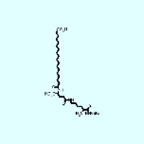 CCCCNC(=O)[C@@H](N)CCCCNC(=O)CC[C@H](NC(=O)CCCCCCCCCCCCCCCCC(=O)O)C(=O)O